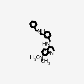 CN(C)c1ccc2c(NCc3cccc(CNCc4ccccc4)c3)ccnc2c1